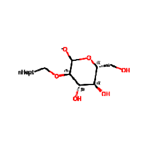 CCCCCCCCO[C@H]1C([O])O[C@H](CO)[C@@H](O)[C@@H]1O